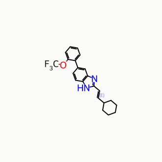 FC(F)(F)Oc1ccccc1-c1ccc2[nH]c(/C=C/C3CCCCC3)nc2c1